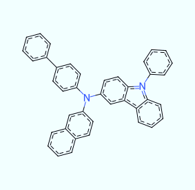 c1ccc(-c2ccc(N(c3ccc4ccccc4c3)c3ccc4c(c3)c3ccccc3n4-c3ccccc3)cc2)cc1